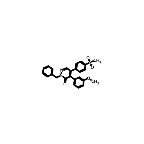 COc1cccc(-c2c(-c3ccc(S(C)(=O)=O)cc3)cnn(Cc3ccccc3)c2=O)c1